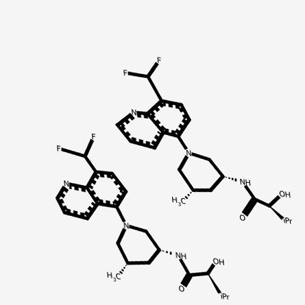 CC(C)[C@H](O)C(=O)N[C@@H]1C[C@H](C)CN(c2ccc(C(F)F)c3ncccc23)C1.CC(C)[C@H](O)C(=O)N[C@@H]1C[C@H](C)CN(c2ccc(C(F)F)c3ncccc23)C1